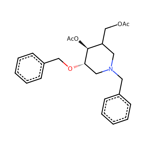 CC(=O)OCC1CN(Cc2ccccc2)C[C@H](OCc2ccccc2)[C@H]1OC(C)=O